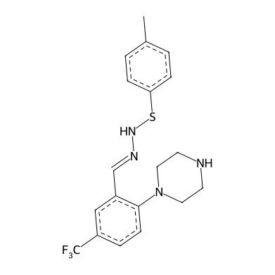 Cc1ccc(SN/N=C/c2cc(C(F)(F)F)ccc2N2CCNCC2)cc1